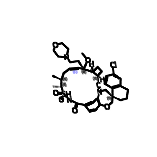 CO[C@@]1(CCN2CCOCC2)/C=C/C[C@H](C)[C@@H](C)S(=O)(=O)NC(=O)c2ccc3c(c2)N(C[C@@H]2CC[C@H]21)C[C@@]1(CCCc2cc(Cl)ccc21)CO3